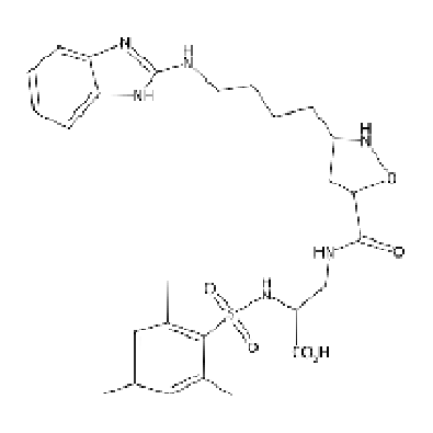 Cc1cc(C)c(S(=O)(=O)NC(CNC(=O)C2CC(CCCCNc3nc4ccccc4[nH]3)NO2)C(=O)O)c(C)c1